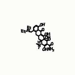 CCN(CC)Cc1ccc(O)c2c1CC1C[C@H]3[C@@H](N(C)C)C(O)=C(C(N)=O)C(=O)[C@@]3(O)C(O)=C1C2=O